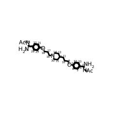 CC(=O)/N=C(\N)c1ccc(OCCCC2CCN(CCCOc3ccc(/C(N)=N/C(C)=O)cc3)CC2)cc1